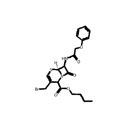 CCCCOC(=O)C1C(CBr)=CS[C@H]2C(NC(=O)COc3ccccc3)C(=O)N12